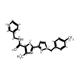 Cc1nc(-c2ccn(Cc3ccc(C(F)(F)F)cc3)n2)sc1C(=O)NCc1cccnc1